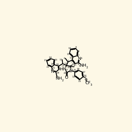 CC(c1cc(N)nc2ccccc12)C1(C(C)c2cc(N)nc3ccccc23)NC(=O)N(c2ccc(SC(F)(F)F)cc2)C1=O